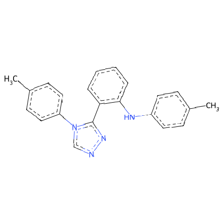 Cc1ccc(Nc2ccccc2-c2nncn2-c2ccc(C)cc2)cc1